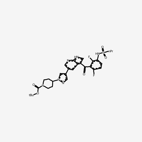 CCCS(=O)(=O)Nc1ccc(F)c(C(=O)c2c[nH]c3ncc(-c4cnn(C5CCN(C(=O)OC(C)(C)C)CC5)c4)cc23)c1F